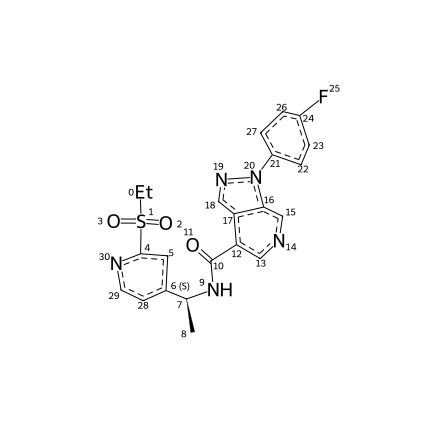 CCS(=O)(=O)c1cc([C@H](C)NC(=O)c2cncc3c2cnn3-c2ccc(F)cc2)ccn1